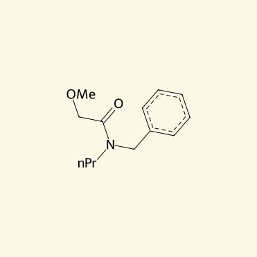 CCCN(Cc1ccccc1)C(=O)COC